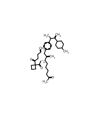 C=CCCC(=O)C1(C(=O)C[C@@H](CCCCC(C)=O)C(=C)Cc2ccc(C(C)C(=C)C3CCC(C)CC3)cc2)CCC1